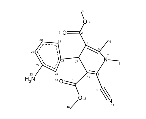 COC(=O)C1=C(C)N(C)C(C#N)=C(C(=O)OC)C1c1cccc(N)c1